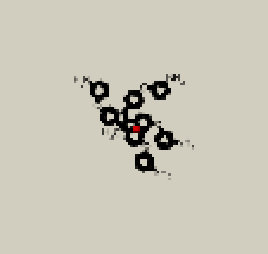 CC(c1ccc(Oc2cccc(N)c2)cc1)(c1ccc(Oc2cccc(N)c2)cc1)C(Cc1ccc(Oc2cccc(N)c2)cc1)c1ccc(Oc2cccc(N)c2)cc1